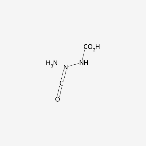 N.O=C=NNC(=O)O